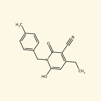 CCc1cc(O)n(Cc2ccc(C)cc2)c(=O)c1C#N